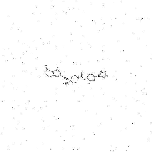 O=C1OCc2cc(C#CC3(O)CCN(C(=O)Cc4ccc(-n5cnnn5)cc4)CC3)ccc21